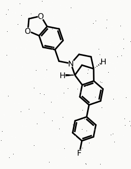 Fc1ccc(-c2ccc3c(c2)[C@H]2C[C@H]3CCN2Cc2ccc3c(c2)OCO3)cc1